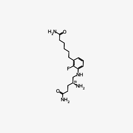 NC(=O)CCCCCc1cccc(NC[C@@H](N)CCC(N)=O)c1F